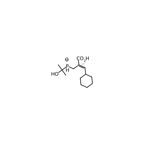 CC(C)(O)[PH](=O)C/C(=C\C1CCCCC1)C(=O)O